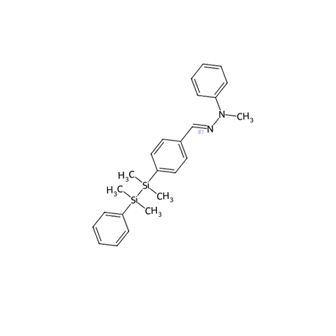 CN(/N=C/c1ccc([Si](C)(C)[Si](C)(C)c2ccccc2)cc1)c1ccccc1